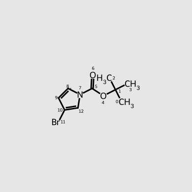 CC(C)(C)OC(=O)n1[c]cc(Br)c1